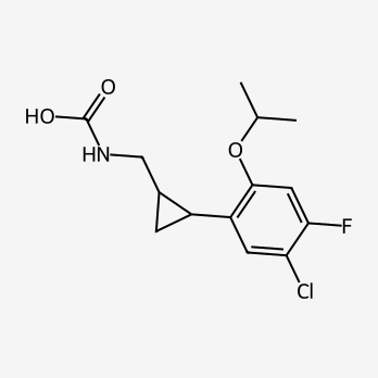 CC(C)Oc1cc(F)c(Cl)cc1C1CC1CNC(=O)O